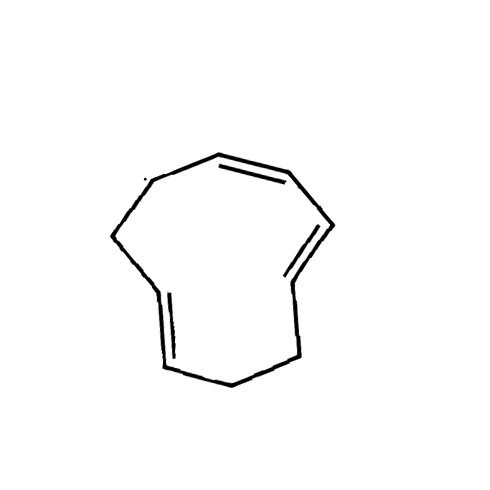 [CH]1/C=C\C=C\CC/C=C/C1